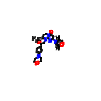 O=C(CN1c2nc(N3C[C@@H]4C[C@H]3CO4)cc(=O)n2CC[C@H]1C(F)(F)F)c1ccc(N2CCOCC2)cc1